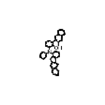 Cc1cc2ccccc2cc1-c1cccc(N(c2ccccc2)c2cccc3c2Cc2cc4ccccc4cc2-3)c1O